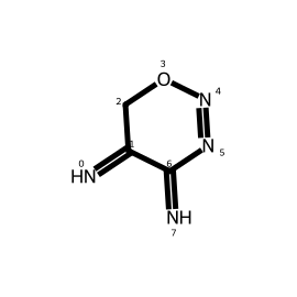 N=C1CON=NC1=N